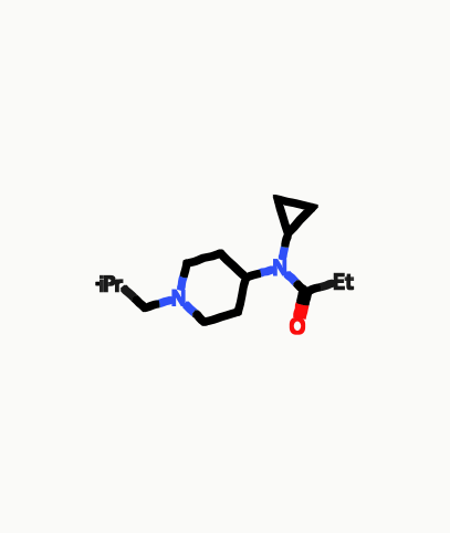 CCC(=O)N(C1CC1)C1CCN(C[C](C)C)CC1